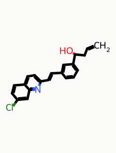 C=CCC(O)c1cccc(/C=C/c2ccc3ccc(Cl)cc3n2)c1